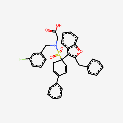 O=C(O)CN(Cc1cccc(F)c1)S(=O)(=O)C1(c2c(Cc3ccccc3)oc3ccccc23)C=CC(c2ccccc2)=CC1